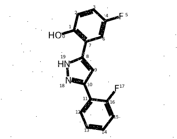 Oc1ccc(F)cc1-c1cc(-c2ccccc2F)n[nH]1